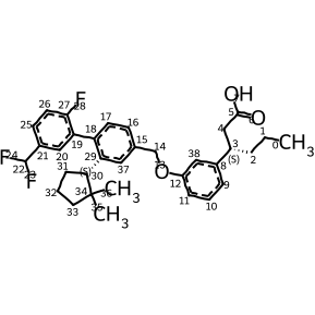 CCC[C@@H](CC(=O)O)c1cccc(OCc2ccc(-c3cc(C(F)F)ccc3F)c([C@H]3CCCC3(C)C)c2)c1